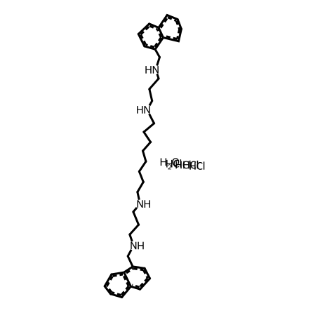 Cl.Cl.Cl.Cl.O.c1ccc2c(CNCCCNCCCCCCCCNCCCNCc3cccc4ccccc34)cccc2c1